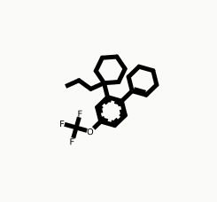 CCCC1(c2cc(OC(F)(F)F)ccc2C2=CCCCC2)CCCCC1